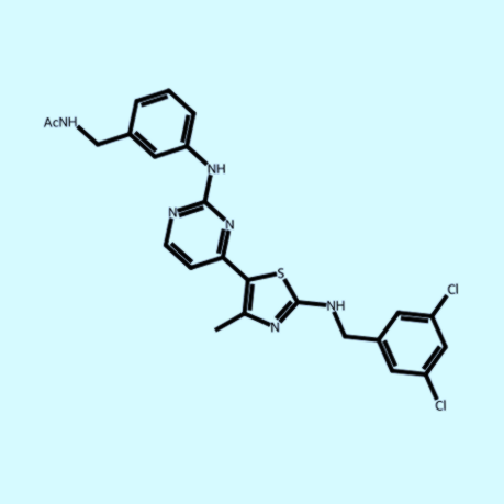 CC(=O)NCc1cccc(Nc2nccc(-c3sc(NCc4cc(Cl)cc(Cl)c4)nc3C)n2)c1